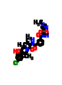 CC(C)[C@@H](NC(=O)c1cccc(C(=O)NS(=O)(=O)c2cn(C)cn2)c1)C(=O)N1CC[C@](O)(c2ccc(Cl)cc2)C(C)(C)C1